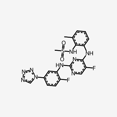 Cc1cccc(Nc2nc(Nc3cc(-n4cnnn4)ccc3F)ncc2F)c1NS(C)(=O)=O